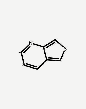 [c]1[c]nc2cscc2c1